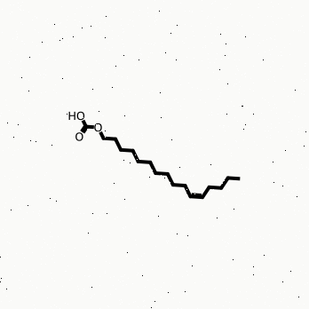 CCCC/C=C\CCCCCCCCCCOC(=O)O